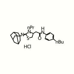 CCCCc1ccc(NC(=O)CC2CS/C(=N\C34CC5CC(CC(C5)C3)C4)N2CCC)cc1.Cl